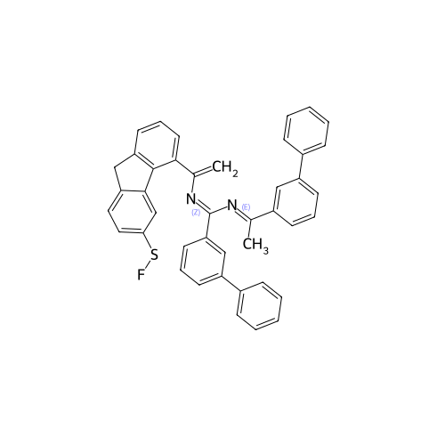 C=C(/N=C(\N=C(/C)c1cccc(-c2ccccc2)c1)c1cccc(-c2ccccc2)c1)c1cccc2c1-c1cc(SF)ccc1C2